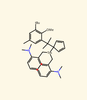 COc1c(C(C)(C)C)cc(C)cc1C(C)(C)[C]1([Tm]([CH2]c2ccccc2N(C)C)[CH2]c2ccccc2N(C)C)C=CC=C1